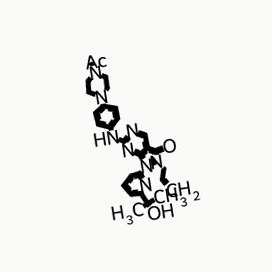 C=CCn1c(=O)c2cnc(Nc3ccc(N4CCN(C(C)=O)CC4)cc3)nc2n1-c1cccc(C(C)(C)O)n1